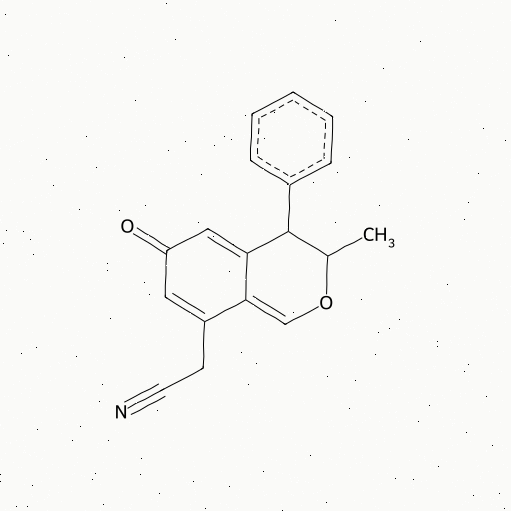 CC1OC=C2C(CC#N)=CC(=O)C=C2C1c1ccccc1